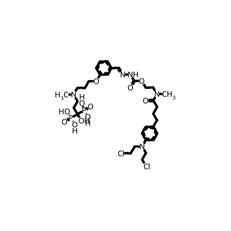 CN(CCCOc1cccc(C=NNC(=O)OCCN(C)C(=O)CCCc2ccc(N(CCCl)CCCl)cc2)c1)CCC(O)(P(=O)(O)O)P(=O)(O)O